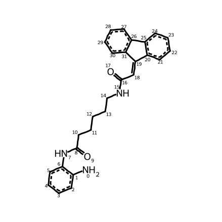 Nc1ccccc1NC(=O)CCCCCNC(=O)C=C1c2ccccc2-c2ccccc21